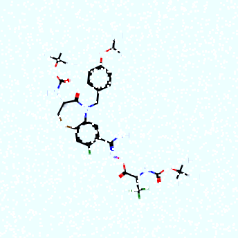 CC(C)Oc1ccc(CN2C(=O)[C@@H](NC(=O)OC(C)(C)C)CSc3cc(F)c(/C(N)=N/OC(=O)C(NC(=O)OC(C)(C)C)C(F)(F)F)cc32)cc1